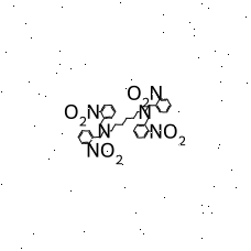 O=[N+]([O-])c1ccccc1CN(CCCCCCN(Cc1ccccc1[N+](=O)[O-])Cc1ccccc1[N+](=O)[O-])Cc1ccccc1[N+](=O)[O-]